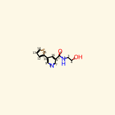 O=C(NCCO)c1cncc(-c2cccs2)c1